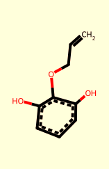 C=CCOc1c(O)cccc1O